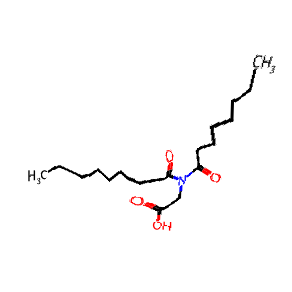 CCCCCCCC(=O)N(CC(=O)O)C(=O)CCCCCCC